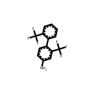 Nc1ccc(-c2ccccc2C(F)(F)F)c(C(F)(F)F)c1